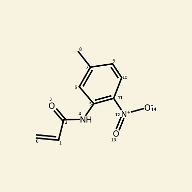 C=CC(=O)Nc1cc(C)ccc1[N+](=O)[O-]